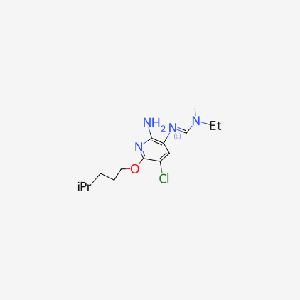 CCN(C)/C=N/c1cc(Cl)c(OCCCC(C)C)nc1N